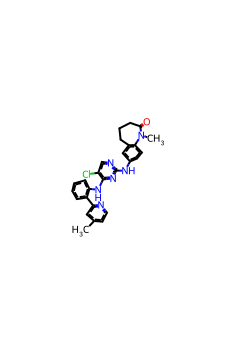 Cc1ccnc(-c2ccccc2Nc2nc(Nc3ccc4c(c3)CCCC(=O)N4C)ncc2Cl)c1